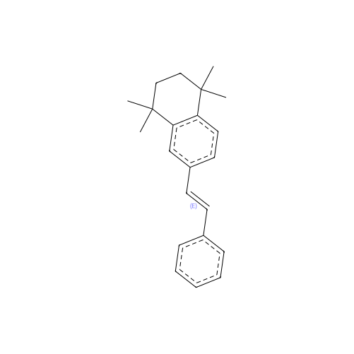 CC1(C)CCC(C)(C)c2cc(/C=C/c3ccccc3)ccc21